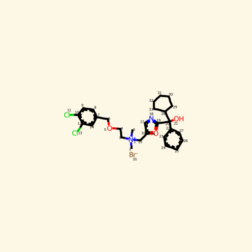 C[N+](C)(CCOCc1ccc(Cl)c(Cl)c1)Cc1cnc(C(O)(c2ccccc2)C2CCCCC2)o1.[Br-]